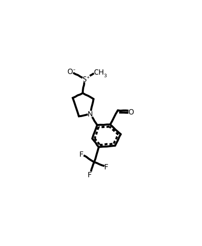 C[S+]([O-])C1CCN(c2cc(C(F)(F)F)ccc2C=O)C1